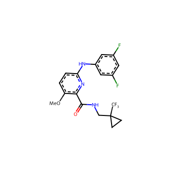 COc1ccc(Nc2cc(F)cc(F)c2)nc1C(=O)NCC1(C(F)(F)F)CC1